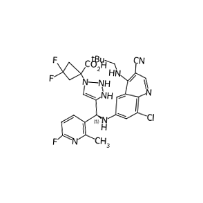 Cc1nc(F)ccc1[C@H](Nc1cc(Cl)c2ncc(C#N)c(NCC(C)(C)C)c2c1)C1=CN(C2(C(=O)O)CC(F)(F)C2)NN1